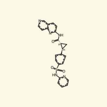 O=C(Nc1ccc2cnccc2n1)[C@@H]1C[C@H]1c1ccc(S(=O)(=O)Nc2ccccn2)cc1